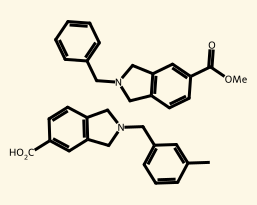 COC(=O)c1ccc2c(c1)CN(Cc1ccccc1)C2.Cc1cccc(CN2Cc3ccc(C(=O)O)cc3C2)c1